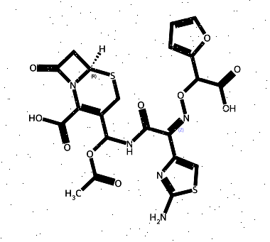 CC(=O)OC(NC(=O)/C(=N\OC(C(=O)O)c1ccco1)c1csc(N)n1)C1=C(C(=O)O)N2C(=O)C[C@H]2SC1